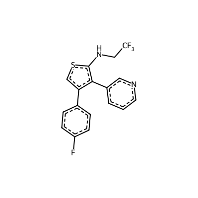 Fc1ccc(-c2csc(NCC(F)(F)F)c2-c2cccnc2)cc1